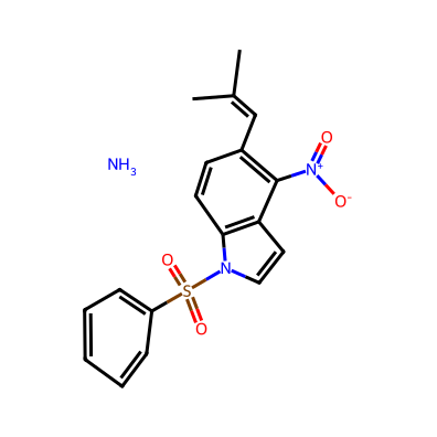 CC(C)=Cc1ccc2c(ccn2S(=O)(=O)c2ccccc2)c1[N+](=O)[O-].N